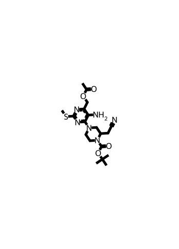 CSc1nc(COC(C)=O)c(N)c(N2CCN(C(=O)OC(C)(C)C)C(CC#N)C2)n1